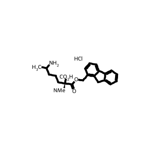 CN[C@@](CCCC(C)N)(C(=O)O)C(=O)OCc1cccc2c1Cc1ccccc1-2.Cl